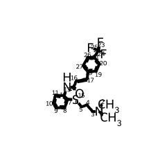 CN(C)CCCSc1ccccc1NC(=O)C=Cc1ccc(C(F)(F)F)cc1